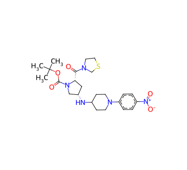 CC(C)(C)OC(=O)N1C[C@@H](NC2CCN(c3ccc([N+](=O)[O-])cc3)CC2)C[C@H]1C(=O)N1CCSC1